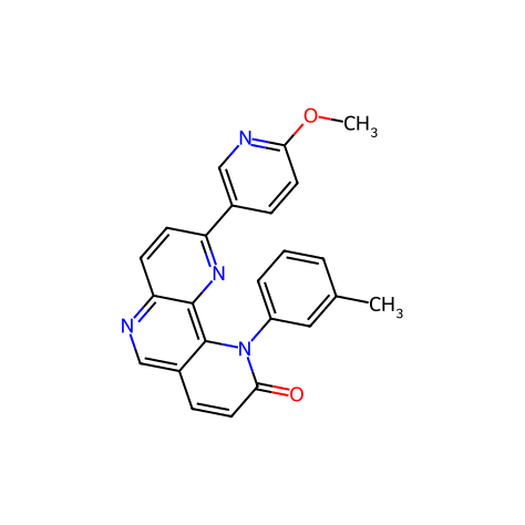 COc1ccc(-c2ccc3ncc4ccc(=O)n(-c5cccc(C)c5)c4c3n2)cn1